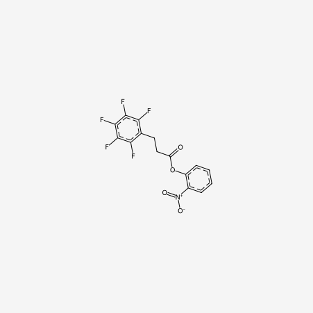 O=C(CCc1c(F)c(F)c(F)c(F)c1F)Oc1ccccc1[N+](=O)[O-]